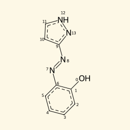 Oc1ccccc1N=Nc1cc[nH]n1